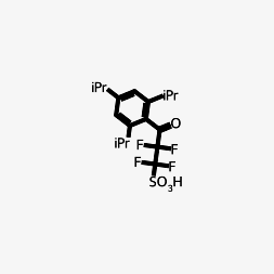 CC(C)c1cc(C(C)C)c(C(=O)C(F)(F)C(F)(F)S(=O)(=O)O)c(C(C)C)c1